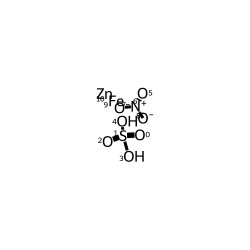 O=S(=O)(O)O.O=[N+]([O-])[O-].[Fe].[Zn]